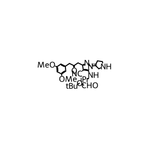 CC(C)(C)OC=O.COc1cc(CC(=O)Cc2nn([C@H]3CCNC3)c(NC(C)C)c2C#N)cc(OC)c1